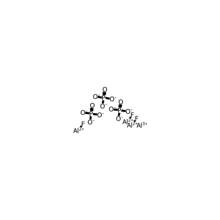 O=P([O-])([O-])[O-].O=P([O-])([O-])[O-].O=P([O-])([O-])[O-].[Al+3].[F][Al+2].[F][Al+2].[F][Al+2]